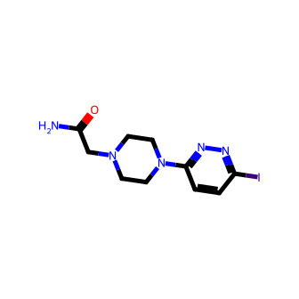 NC(=O)CN1CCN(c2ccc(I)nn2)CC1